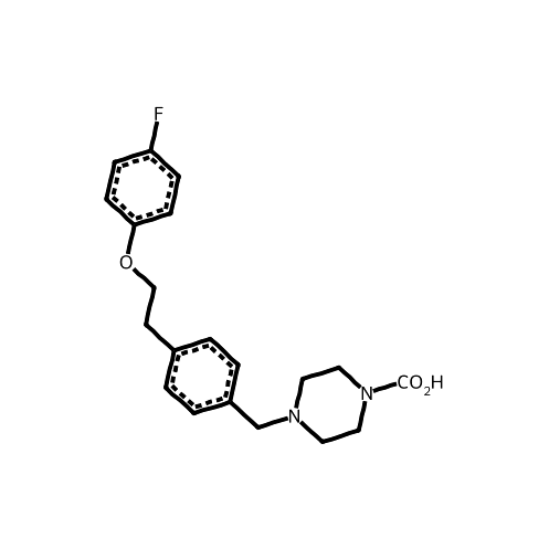 O=C(O)N1CCN(Cc2ccc(CCOc3ccc(F)cc3)cc2)CC1